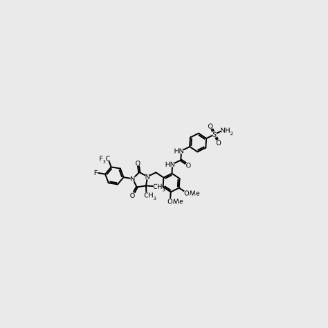 COc1cc(CN2C(=O)N(c3ccc(F)c(C(F)(F)F)c3)C(=O)C2(C)C)c(NC(=O)Nc2ccc(S(N)(=O)=O)cc2)cc1OC